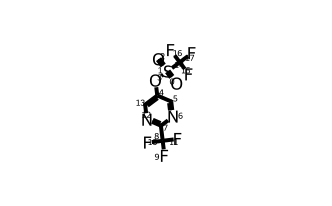 O=S(=O)(Oc1cnc(C(F)(F)F)nc1)C(F)(F)F